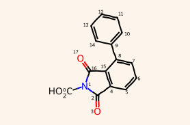 O=C(O)N1C(=O)c2cccc(-c3ccccc3)c2C1=O